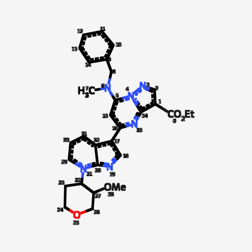 CCOC(=O)c1cnn2c(N(C)Cc3ccccc3)cc(-c3cnc4n(C5CCOCC5OC)cccc3-4)nc12